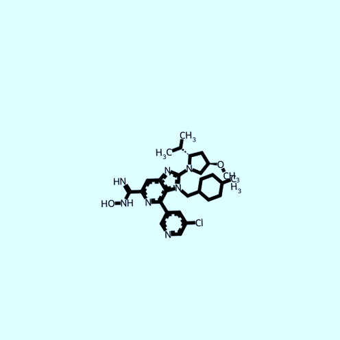 CO[C@@H]1C[C@@H](C(C)C)N(c2nc3cc(C(=N)NO)nc(-c4cncc(Cl)c4)c3n2CC2CCC(C)CC2)C1